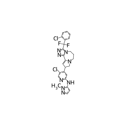 Cn1nccc1Nc1cc(C2C=C3c4nnc(C(F)(F)c5ccccc5Cl)n4CCCN3C2)c(Cl)cn1